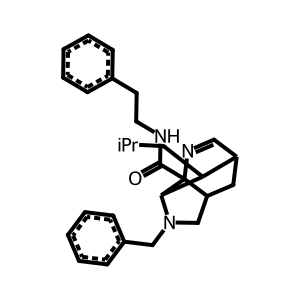 CC(C)CC1C2C=NC3(C(=O)NCCc4ccccc4)C(C2)CN(Cc2ccccc2)C13